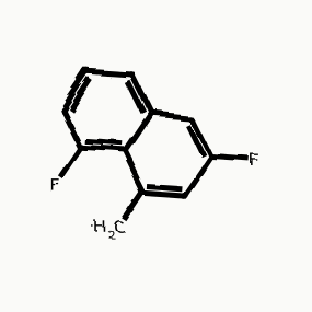 [CH2]c1cc(F)cc2cccc(F)c12